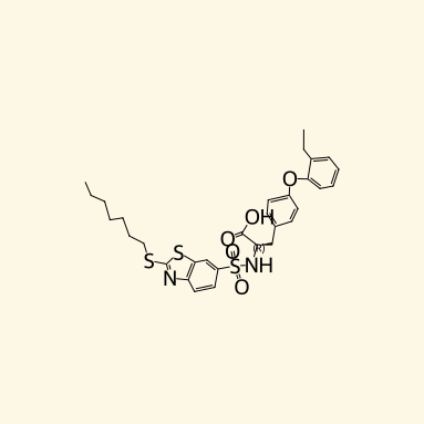 CCCCCCCSc1nc2ccc(S(=O)(=O)N[C@H](Cc3ccc(Oc4ccccc4CC)cc3)C(=O)O)cc2s1